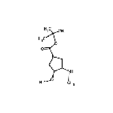 CNC1CN(C(=O)OC(C)(C)C)C[C@@H]1OC